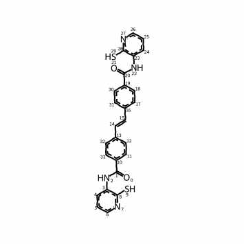 O=C(Nc1cccnc1S)c1ccc(C=Cc2ccc(C(=O)Nc3cccnc3S)cc2)cc1